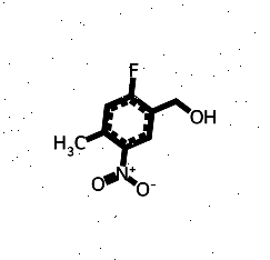 Cc1cc(F)c(CO)cc1[N+](=O)[O-]